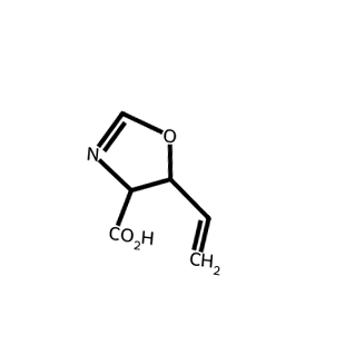 C=CC1OC=NC1C(=O)O